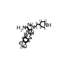 Nc1ncn(CCC2CCNCC2)c2nc(Sc3cc4c(cc3Br)OCO4)nc1-2